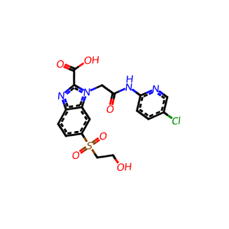 O=C(Cn1c(C(=O)O)nc2ccc(S(=O)(=O)CCO)cc21)Nc1ccc(Cl)cn1